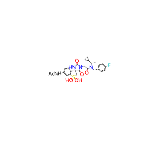 CC(=O)Nc1ccc2c(c1)S(O)(O)CC21NC(=O)N(CC(=O)N(Cc2ccc(F)cc2)[C@@H](C)C2CC2)C1=O